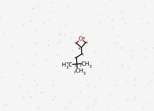 CC(C)(C)CCC1COC1